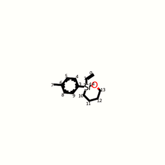 C=C[Si]1(c2ccc(C)cc2)CCCCO1